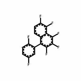 Fc1c[c]c(F)c(-c2c(F)c(F)c(F)c3c(F)c(F)ccc23)c1